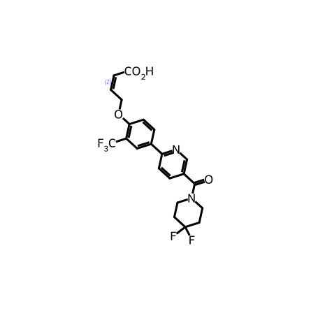 O=C(O)/C=C\COc1ccc(-c2ccc(C(=O)N3CCC(F)(F)CC3)cn2)cc1C(F)(F)F